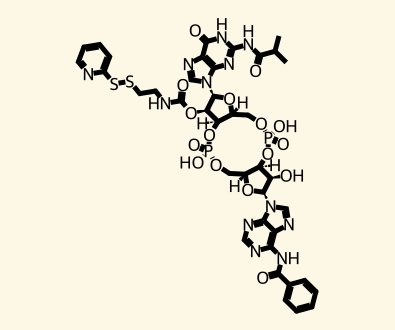 CC(C)C(=O)Nc1nc2c(ncn2[C@@H]2O[C@@H]3COP(=O)(O)O[C@H]4[C@@H](O)[C@H](n5cnc6c(NC(=O)c7ccccc7)ncnc65)O[C@@H]4COP(=O)(O)O[C@H]3[C@H]2OC(=O)NCCSSc2ccccn2)c(=O)[nH]1